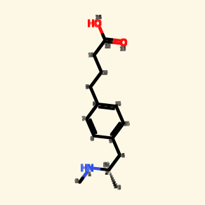 CN[C@@H](C)Cc1ccc(CCCC(=O)O)cc1